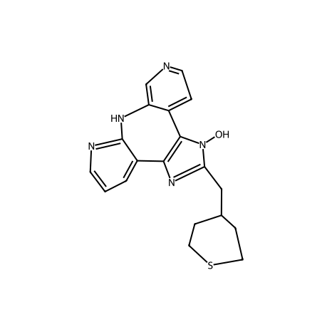 On1c(CC2CCSCC2)nc2c1-c1ccncc1Nc1ncccc1-2